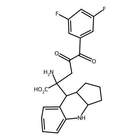 NC(CC(=O)C(=O)c1cc(F)cc(F)c1)(C(=O)O)C1c2ccccc2NC2CCCC21